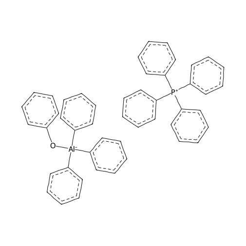 c1ccc([O][Al-]([c]2ccccc2)([c]2ccccc2)[c]2ccccc2)cc1.c1ccc([P+](c2ccccc2)(c2ccccc2)c2ccccc2)cc1